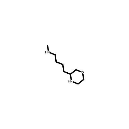 CNCCCCC1COCCN1